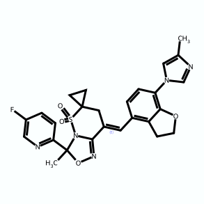 Cc1cn(-c2ccc(/C=C3\CC4(CC4)S(=O)(=O)N4C3=NOC4(C)c3ccc(F)cn3)c3c2OCC3)cn1